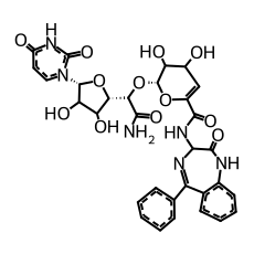 NC(=O)C(O[C@H]1OC(C(=O)NC2N=C(c3ccccc3)c3ccccc3NC2=O)=CC(O)C1O)[C@H]1O[C@@H](n2ccc(=O)[nH]c2=O)C(O)C1O